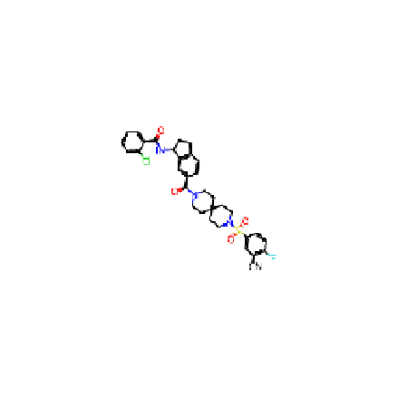 N#Cc1cc(S(=O)(=O)N2CCC3(CCN(C(=O)c4ccc5c(c4)C(NC(=O)c4ccccc4Cl)CC5)CC3)CC2)ccc1F